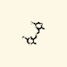 CCC1COC(C)C(CSCC2=NC(CC)COC2C)=N1